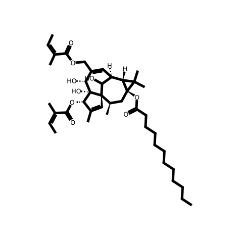 C/C=C(/C)C(=O)OCC1=C[C@@H]2C(O)[C@]3(C=C(C)[C@H](OC(=O)/C(C)=C\C)[C@@]3(O)[C@@H]1O)[C@H](C)C[C@]1(OC(=O)CCCCCCCCCCC)[C@H]2C1(C)C